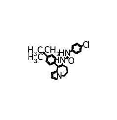 CC(C)(C)c1ccc(C2=C(NC(=O)Nc3ccc(Cl)cc3)CCCn3cccc32)cc1